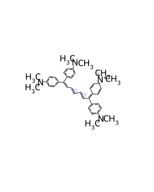 CN(C)c1ccc(C(=C/C=C/C=C/C(=C2C=CC(=[N+](C)C)C=C2)c2ccc(N(C)C)cc2)c2ccc(N(C)C)cc2)cc1